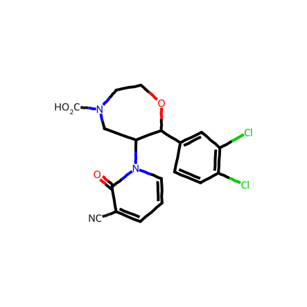 N#Cc1cccn(C2CN(C(=O)O)CCOC2c2ccc(Cl)c(Cl)c2)c1=O